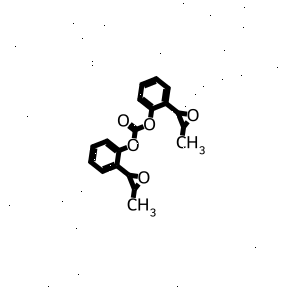 CC1OC1c1ccccc1OC(=O)Oc1ccccc1C1OC1C